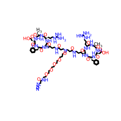 C[C@@H]1NC(=O)C(CCCNC(=N)N)NC(=O)[C@H](CCCCNC(=O)CCN(CCC(=O)NCCCC[C@@H]2NC(=O)[C@@H](Cc3ccccc3)NC(=O)[C@H](CC(=O)O)NC(=O)[C@H](C)NC(=O)[C@H](CCCNC(=N)N)NC2=O)OCCCOCCOCCOCCOCCNC(=O)CN=[N+]=[N-])NC(=O)[C@@H](Cc2ccccc2)NC(=O)[C@H](CC(=O)O)NC1=O